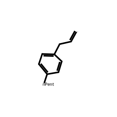 [CH]=CCc1ccc(CCCCC)cc1